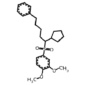 COc1ccc(S(=O)(=O)C(CCCCc2ccccc2)C2CCCC2)cc1OC